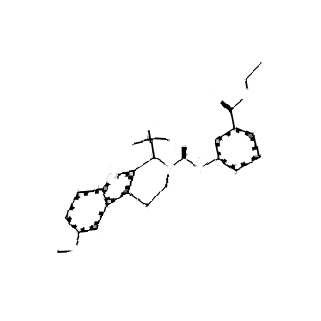 CCOC(=O)c1cccc(NC(=O)N2CCc3c([nH]c4ccc(OC)cc34)C2C(F)(F)F)c1